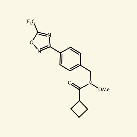 CON(Cc1ccc(-c2noc(C(F)(F)F)n2)cc1)C(=O)C1CCC1